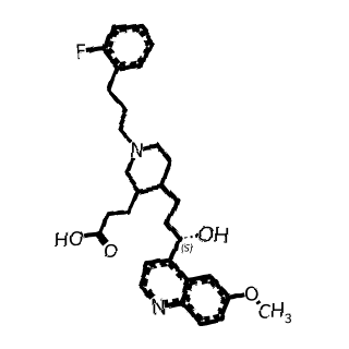 COc1ccc2nccc([C@@H](O)CCC3CCN(CCCc4ccccc4F)CC3CCC(=O)O)c2c1